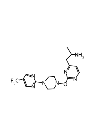 CC(N)Cc1ccnc(ON2CCN(c3ncc(C(F)(F)F)cn3)CC2)n1